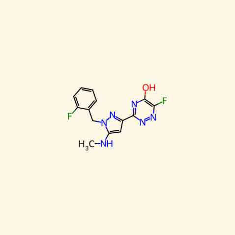 CNc1cc(-c2nnc(F)c(O)n2)nn1Cc1ccccc1F